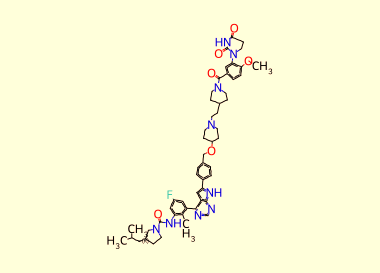 COc1ccc(C(=O)N2CCC(CCN3CCC(OCc4ccc(-c5cc6c(-c7cc(F)cc(NC(=O)N8CC[C@@H](CC(C)C)C8)c7C)ncnc6[nH]5)cc4)CC3)CC2)cc1N1CCC(=O)NC1=O